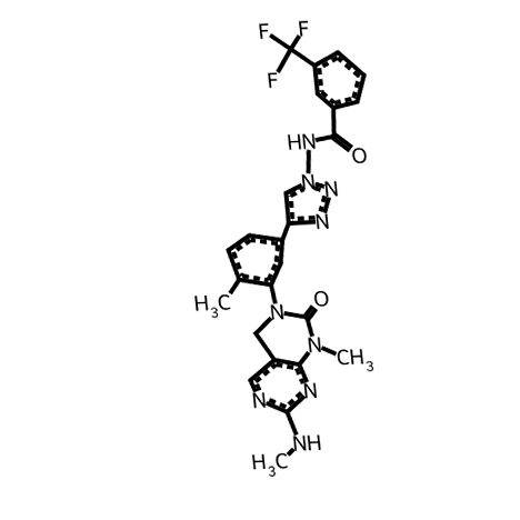 CNc1ncc2c(n1)N(C)C(=O)N(c1cc(-c3cn(NC(=O)c4cccc(C(F)(F)F)c4)nn3)ccc1C)C2